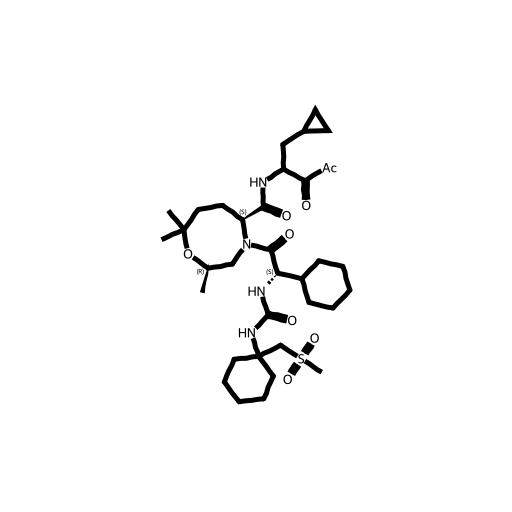 CC(=O)C(=O)C(CC1CC1)NC(=O)[C@@H]1CCC(C)(C)O[C@H](C)CN1C(=O)[C@@H](NC(=O)NC1(CS(C)(=O)=O)CCCCC1)C1CCCCC1